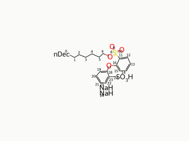 CCCCCCCCCCCCCCCCOS(=O)(=O)c1ccccc1Oc1ccccc1S(=O)(=O)O.[NaH].[NaH]